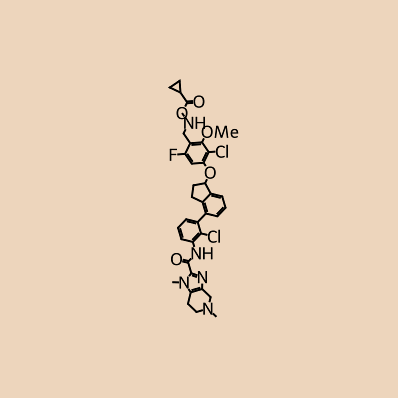 COc1c(Cl)c(OC2CCc3c(-c4cccc(NC(=O)c5nc6c(n5C)CCN(C)C6)c4Cl)cccc32)cc(F)c1CNOC(=O)C1CC1